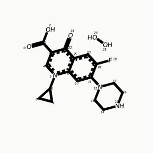 O=C(O)c1cn(C2CC2)c2cc(N3CCNCC3)c(F)cc2c1=O.OO